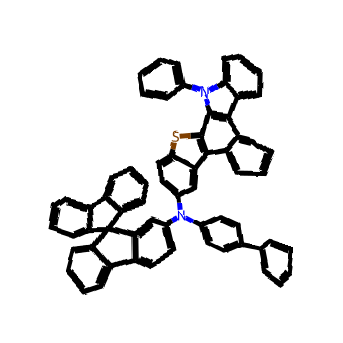 c1ccc(-c2ccc(N(c3ccc4c(c3)C3(c5ccccc5-c5ccccc53)c3ccccc3-4)c3ccc4sc5c(c4c3)c3ccccc3c3c4ccccc4n(-c4ccccc4)c53)cc2)cc1